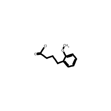 COc1ccccc1CCCC(=O)Cl